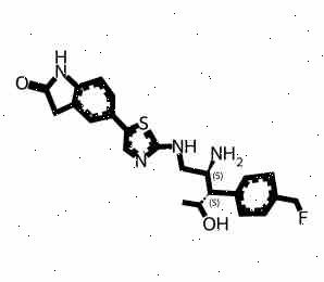 CC(O)[C@@H](c1ccc(CF)cc1)[C@H](N)CNc1ncc(-c2ccc3c(c2)CC(=O)N3)s1